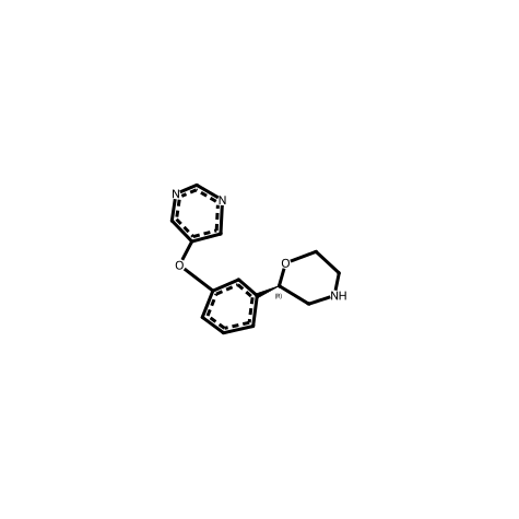 c1cc(Oc2cncnc2)cc([C@@H]2CNCCO2)c1